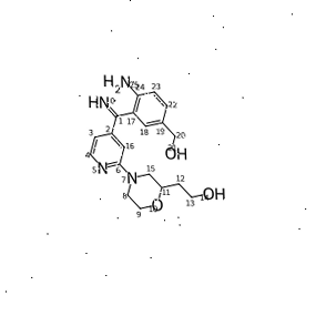 N=C(c1ccnc(N2CCOC(CCO)C2)c1)c1cc(CO)ccc1N